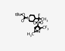 Cn1cc(S(=O)(=O)C(C)(F)C2CCN(C(=O)OC(C)(C)C)CC2)c(C(F)(F)F)n1